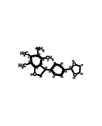 Cc1c(C)c2c(c(C)c1N)C(c1ccc(C3OCCO3)cc1)CO2